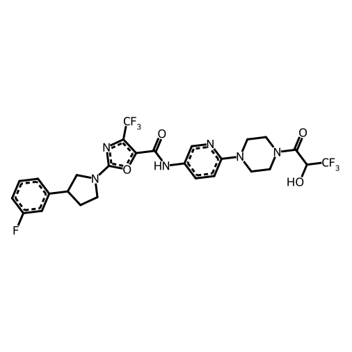 O=C(Nc1ccc(N2CCN(C(=O)C(O)C(F)(F)F)CC2)nc1)c1oc(N2CCC(c3cccc(F)c3)C2)nc1C(F)(F)F